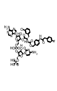 Nc1ccn([C@@H]2O[C@H](COP(=O)(O)O)[C@@H](OP(=O)(O)OC[C@H]3O[C@@H](n4cnc5c(N)ncnc54)[C@H](O)[C@@H]3OC(=O)[C@H](Cc3cccc(Cl)c3)NC(=O)OCc3ccc(NC(=O)Cc4ccc(F)cc4)cc3)[C@H]2O)c(=O)n1